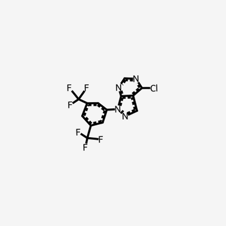 FC(F)(F)c1cc(-n2ncc3c(Cl)ncnc32)cc(C(F)(F)F)c1